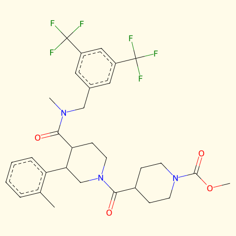 COC(=O)N1CCC(C(=O)N2CCC(C(=O)N(C)Cc3cc(C(F)(F)F)cc(C(F)(F)F)c3)C(c3ccccc3C)C2)CC1